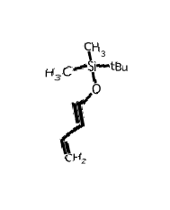 C=CC=CO[Si](C)(C)C(C)(C)C